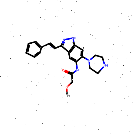 CC(C)OCC(=O)Nc1cc2c(/C=C/c3ccccc3)n[nH]c2cc1N1CCNCC1